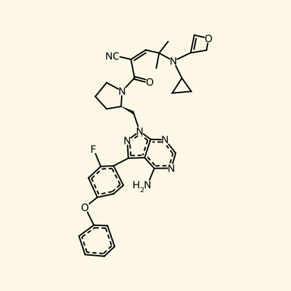 CC(C)(/C=C(/C#N)C(=O)N1CCC[C@@H]1Cn1nc(-c2ccc(Oc3ccccc3)cc2F)c2c(N)ncnc21)N(C1=COC1)C1CC1